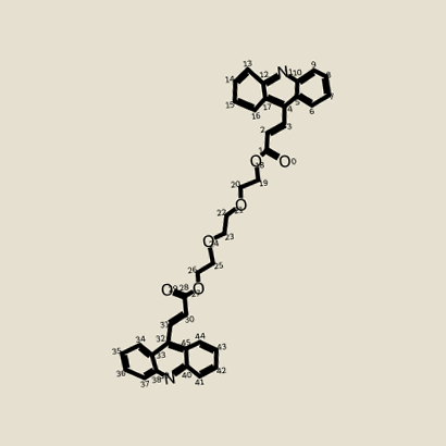 O=C(C=Cc1c2ccccc2nc2ccccc12)OCCOCCOCCOC(=O)C=Cc1c2ccccc2nc2ccccc12